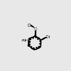 CCc1ccccc1OCl.[AlH3]